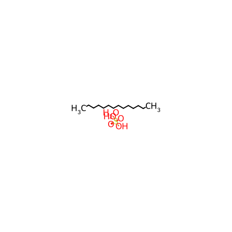 CCCCCCCCCCCCCC.O.O=S(=O)(O)O